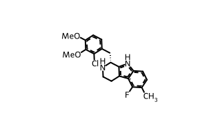 COc1ccc(C[C@H]2NCCc3c2[nH]c2ccc(C)c(F)c32)c(Cl)c1OC